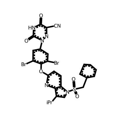 CC(C)c1cn(S(=O)(=O)Cc2ccccc2)c2ccc(Oc3c(Br)cc(-n4nc(C#N)c(=O)[nH]c4=O)cc3Br)nc12